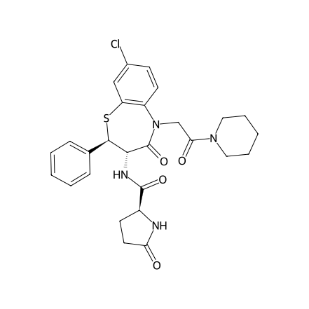 O=C1CC[C@@H](C(=O)N[C@H]2C(=O)N(CC(=O)N3CCCCC3)c3ccc(Cl)cc3S[C@@H]2c2ccccc2)N1